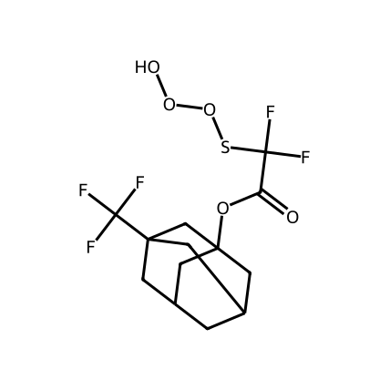 O=C(OC12CC3CC(C1)CC(C(F)(F)F)(C3)C2)C(F)(F)SOOO